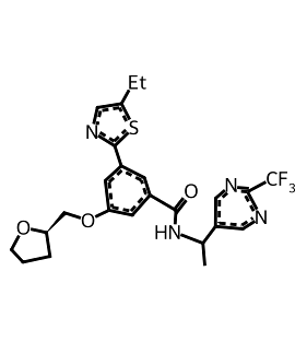 CCc1cnc(-c2cc(OC[C@H]3CCCO3)cc(C(=O)NC(C)c3cnc(C(F)(F)F)nc3)c2)s1